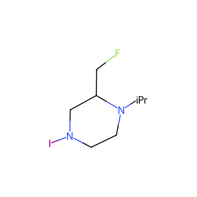 CC(C)N1CCN(I)CC1CF